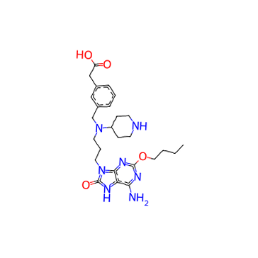 CCCCOc1nc(N)c2[nH]c(=O)n(CCCN(Cc3cccc(CC(=O)O)c3)C3CCNCC3)c2n1